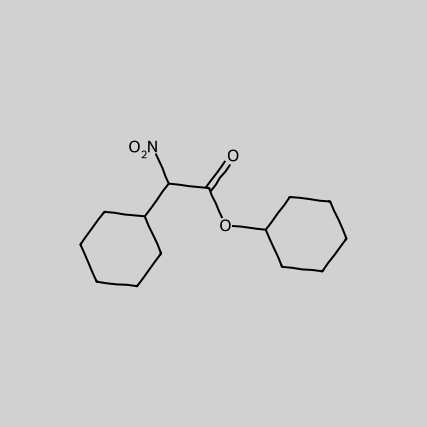 O=C(OC1CCCCC1)C(C1CCCCC1)[N+](=O)[O-]